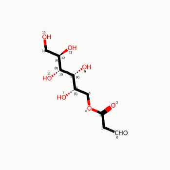 O=CCC(=O)OC[C@H](O)[C@@H](O)[C@H](O)[C@H](O)CO